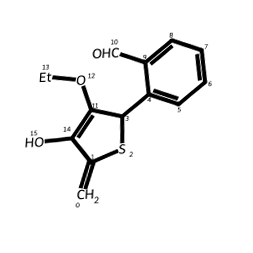 C=C1SC(c2ccccc2C=O)C(OCC)=C1O